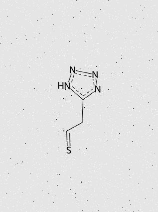 S=[C]Cc1nnn[nH]1